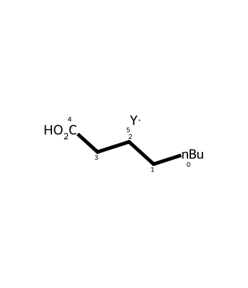 CCCCCCCC(=O)O.[Y]